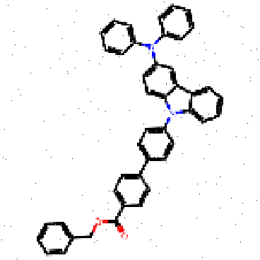 O=C(OCc1ccccc1)c1ccc(-c2ccc(-n3c4ccccc4c4cc(N(c5ccccc5)c5ccccc5)ccc43)cc2)cc1